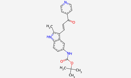 Cc1[nH]c2ccc(NC(=O)OC(C)(C)C)cc2c1/C=C/C(=O)c1ccncc1